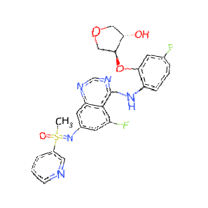 CS(=O)(=Nc1cc(F)c2c(Nc3ccc(F)cc3O[C@H]3COC[C@@H]3O)ncnc2c1)c1cccnc1